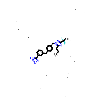 CCCc1nc(C(C)(F)F)nn1Cc1ccc(Cc2cccc(-c3nnn[nH]3)c2)cc1